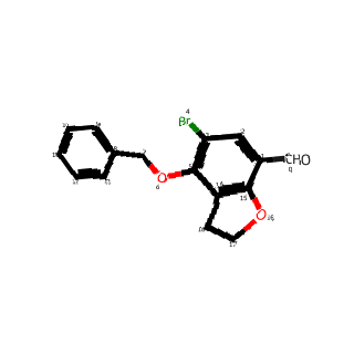 O=Cc1cc(Br)c(OCc2ccccc2)c2c1OCC2